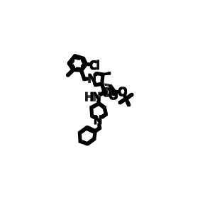 Cc1cccc(Cl)c1CN1C[C@@H](C)[C@@](CC(=O)OC(C)(C)C)(C(=O)NC2CCN(CC3=CCCCC3)CC2)C1